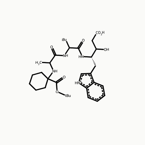 CCC(C)C(NC(=O)C(C)NC1(C(=O)OC(C)(C)C)CCCCC1)C(=O)N[C@@H](Cc1c[nH]c2ccccc12)C(O)CC(=O)O